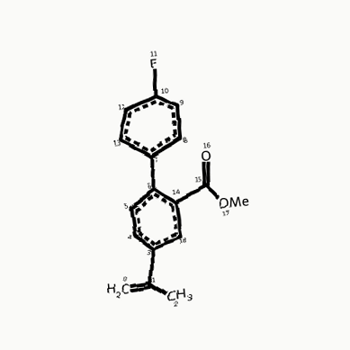 C=C(C)c1ccc(-c2ccc(F)cc2)c(C(=O)OC)c1